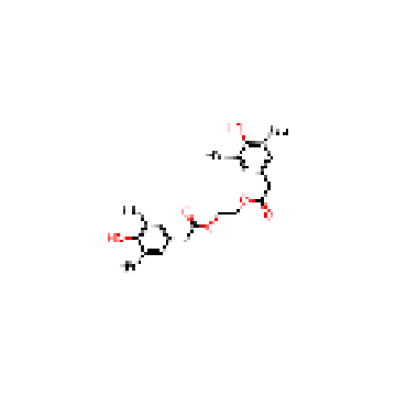 CC(C)(C)c1cc(CC(=O)OCCOC(=O)Cc2cc(C(C)(C)C)c(O)c(C(C)(C)C)c2)cc(C(C)(C)C)c1O